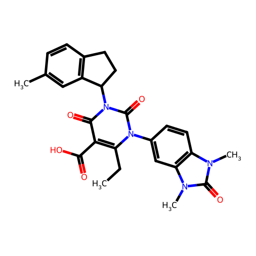 CCc1c(C(=O)O)c(=O)n(C2CCc3ccc(C)cc32)c(=O)n1-c1ccc2c(c1)n(C)c(=O)n2C